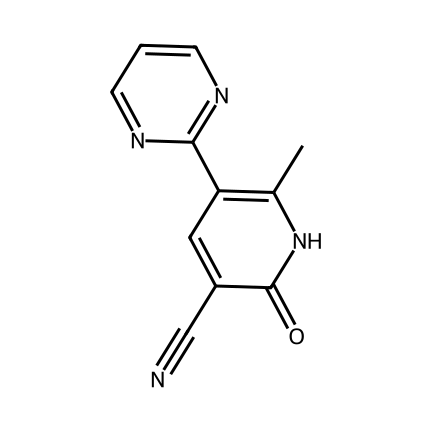 Cc1[nH]c(=O)c(C#N)cc1-c1ncccn1